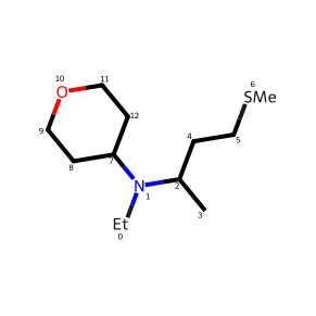 CCN(C(C)CCSC)C1CCOCC1